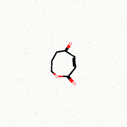 O=C1C=CC(=O)OCCC1